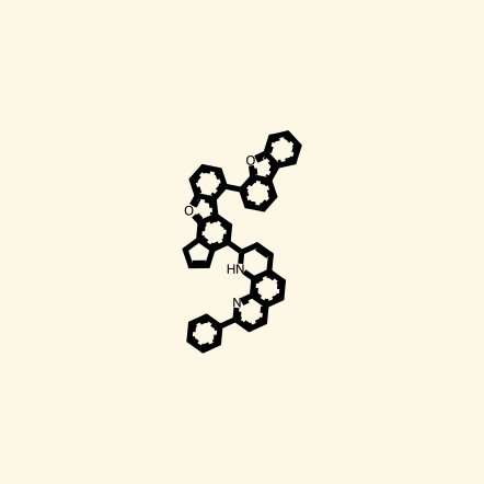 C1=Cc2c(C3C=Cc4ccc5ccc(-c6ccccc6)nc5c4N3)cc3c(oc4cccc(-c5cccc6c5oc5ccccc56)c43)c2C1